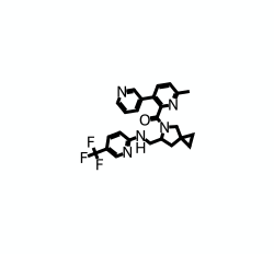 Cc1ccc(-c2cccnc2)c(C(=O)N2CC3(CC3)CC2CNc2ccc(C(F)(F)F)cn2)n1